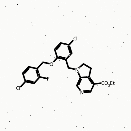 CCOC(=O)c1cncc2c1CCN2Cc1cc(Cl)ccc1OCc1ccc(Cl)cc1F